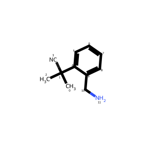 CC(C)(C#N)c1ccccc1CN